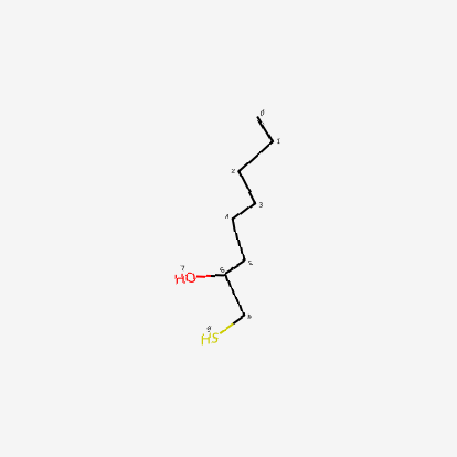 CCCCCCC(O)CS